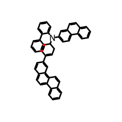 C1=CC(N(c2ccc3c(ccc4ccccc43)c2)c2ccccc2-c2ccccc2)CC=C1c1ccc2ccc3c4ccccc4ccc3c2c1